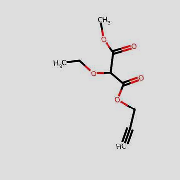 C#CCOC(=O)C(OCC)C(=O)OC